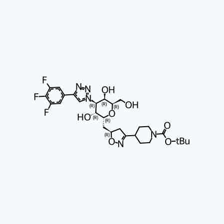 CC(C)(C)OC(=O)N1CCC(C2=NO[C@@H](C[C@H]3O[C@H](CO)[C@H](O)[C@H](n4cc(-c5cc(F)c(F)c(F)c5)nn4)[C@H]3O)C2)CC1